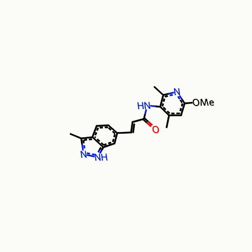 COc1cc(C)c(NC(=O)/C=C/c2ccc3c(C)n[nH]c3c2)c(C)n1